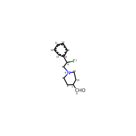 O=CC1CCN(CC(F)c2ccccc2)CC1